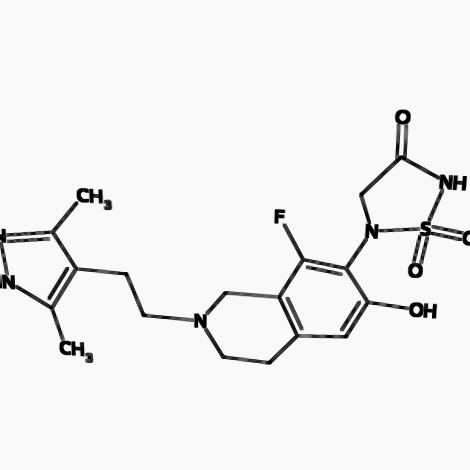 Cc1n[nH]c(C)c1CCN1CCc2cc(O)c(N3CC(=O)NS3(=O)=O)c(F)c2C1